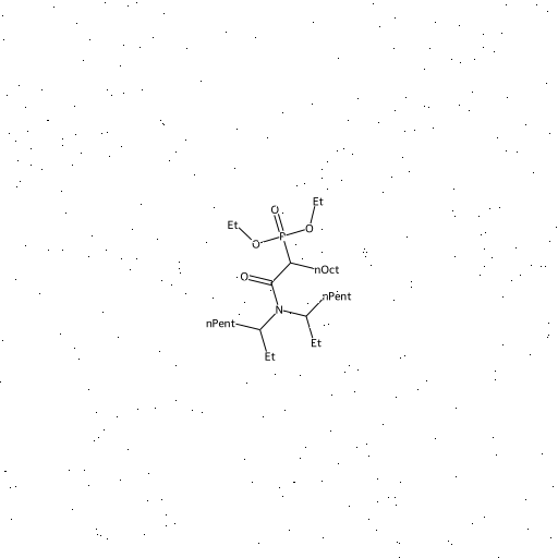 CCCCCCCCC(C(=O)N(C(CC)CCCCC)C(CC)CCCCC)P(=O)(OCC)OCC